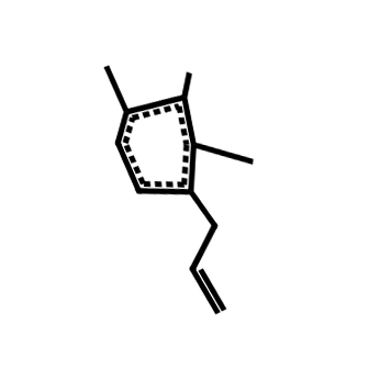 C=CCc1ccc(C)c(C)c1C